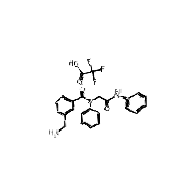 NCc1cccc(C(=O)N(CC(=O)Nc2ccccc2)c2ccccc2)c1.O=C(O)C(F)(F)F